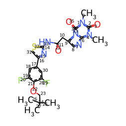 Cn1c(=O)n(C)c2ncc(CC(=O)Nc3nc(-c4cc(F)c(OCC(C)(C)C)c(F)c4)cs3)n2c1=O